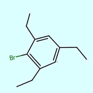 CCc1[c]c(CC)c(Br)c(CC)c1